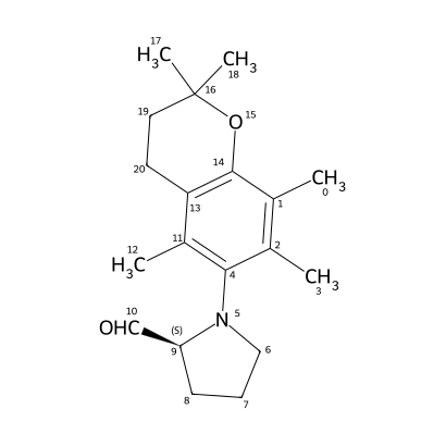 Cc1c(C)c(N2CCC[C@H]2C=O)c(C)c2c1OC(C)(C)CC2